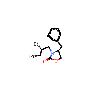 CC[C@H](CC(C)C)CN1C(=O)OC[C@@H]1Cc1ccccc1